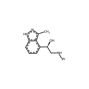 Cc1n[nH]c2cccc([C@@H](O)CNC(C)C)c12